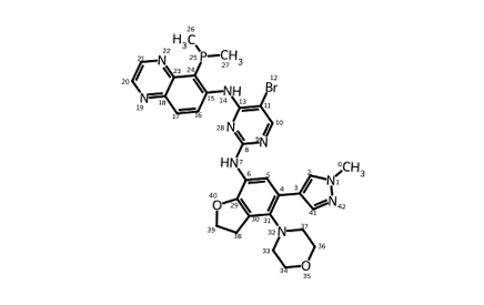 Cn1cc(-c2cc(Nc3ncc(Br)c(Nc4ccc5nccnc5c4P(C)C)n3)c3c(c2N2CCOCC2)CCO3)cn1